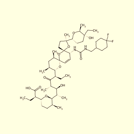 CC[C@@H](C(=O)[C@@H](C)[C@@H](O)[C@H](C)[C@@H]1O[C@@H]([C@@H](CC)C(=O)O)CC[C@@H]1C)[C@H]1O[C@]2(C=C[C@@H](NC(=O)NCC3CCC(F)(F)CC3)[C@]3(CC[C@@](C)([C@H]4CC[C@](O)(CC)[C@H](C)O4)O3)O2)[C@H](C)C[C@@H]1C